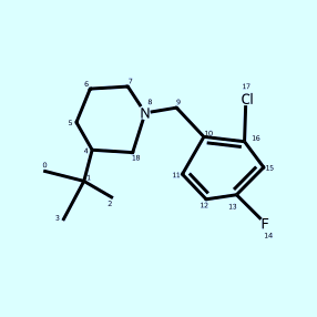 CC(C)(C)C1CCCN(Cc2ccc(F)cc2Cl)C1